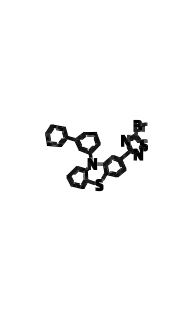 Brc1nc(-c2ccc3c(c2)N(c2cccc(-c4ccccc4)c2)c2ccccc2S3)ns1